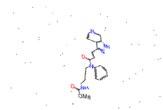 COC(=O)NCCCN(C(=O)/C=C/c1n[nH]c2cnccc12)c1ccccc1